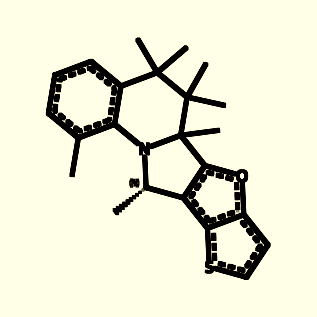 Cc1cccc2c1N1[C@@H](C)c3c(oc4ccsc34)C1(C)C(C)(C)C2(C)C